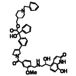 COc1cc(C(=O)N2CC=C(c3cccc(C(O)(C(=O)OCC4CCN(Cc5ccccc5)CC4)c4ccccc4)c3)C2)ccc1CNCC(O)c1ccc(O)c2[nH]c(=O)ccc12